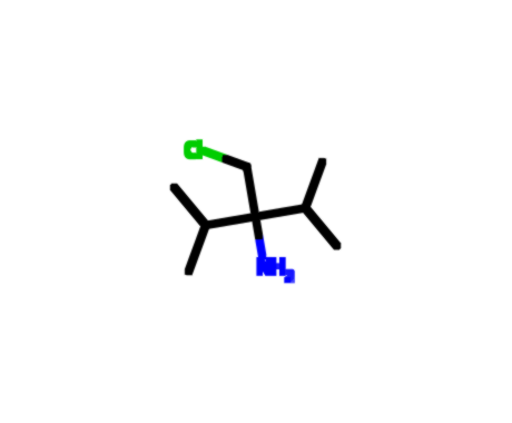 CC(C)C(N)(CCl)C(C)C